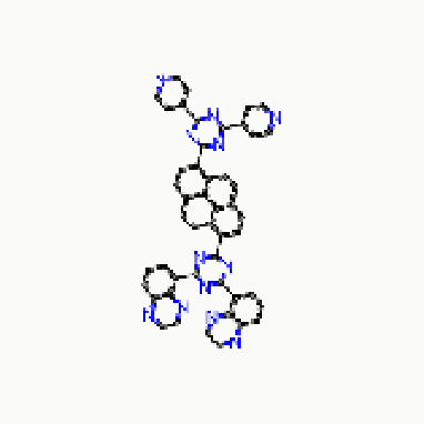 c1cc(-c2nc(-c3ccc4ccc5c(-c6nc(-c7ccncc7)nc(-c7ccncc7)n6)ccc6ccc3c4c65)nc(-c3cccc4nccnc34)n2)c2nccnc2c1